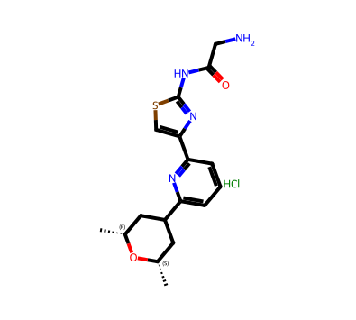 C[C@@H]1CC(c2cccc(-c3csc(NC(=O)CN)n3)n2)C[C@H](C)O1.Cl